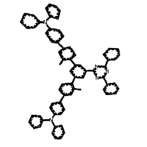 Cc1cc(-c2ccc(N(c3ccccc3)c3ccccc3)cc2)ccc1-c1cc(-c2nc(-c3ccccc3)nc(-c3ccccc3)n2)cc(-c2ccc(-c3ccc(N(c4ccccc4)c4ccccc4)cc3)cc2C)c1